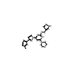 Cc1cccc(-c2ccn(-c3cc(N4CCOCC4)nc(OCc4cn[nH]c4)n3)n2)c1